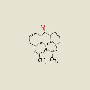 Cc1cc2c3c4c5c(cc(C)c14)CC=CC5C(=O)C3C=CC2